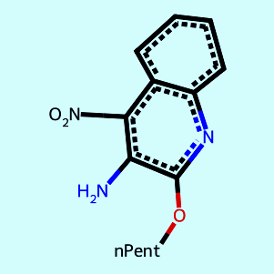 CCCCCOc1nc2ccccc2c([N+](=O)[O-])c1N